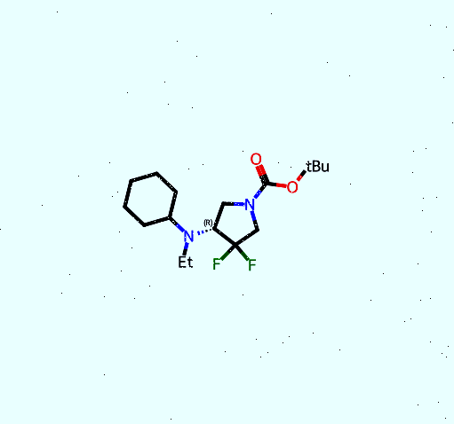 CCN(C1CCCCC1)[C@@H]1CN(C(=O)OC(C)(C)C)CC1(F)F